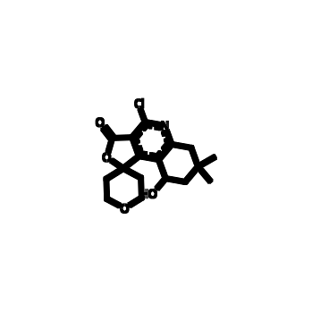 CC1(C)Cc2nc(Cl)c3c(c2C(O)C1)C1(CCOCC1)OC3=O